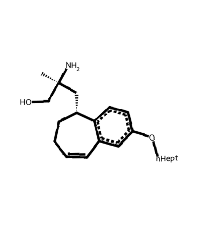 CCCCCCCOc1ccc2c(c1)C=CCC[C@@H]2C[C@](C)(N)CO